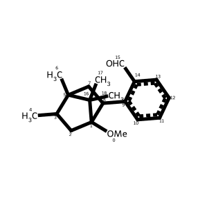 COC12CC(C)C(C)(CC1c1ccccc1C=O)C2(C)C